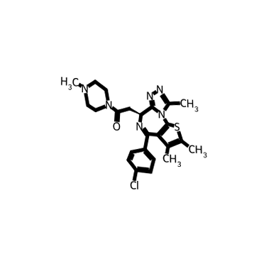 Cc1sc2c(c1C)C(c1ccc(Cl)cc1)=N[C@@H](CC(=O)N1CCN(C)CC1)c1nnc(C)n1-2